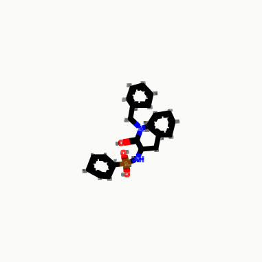 O=C1C(NS(=O)(=O)c2ccccc2)Cc2ccccc2N1Cc1ccccc1